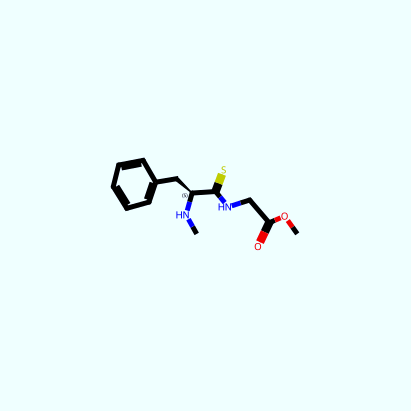 CN[C@@H](Cc1ccccc1)C(=S)NCC(=O)OC